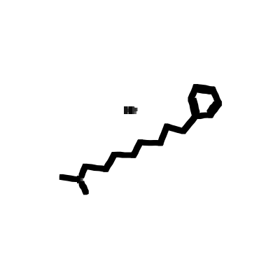 Br.CP(C)CCCCCCCCc1ccccc1